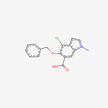 Cn1ccc2c(Cl)c(OCc3ccccc3)c(C(=O)O)cc21